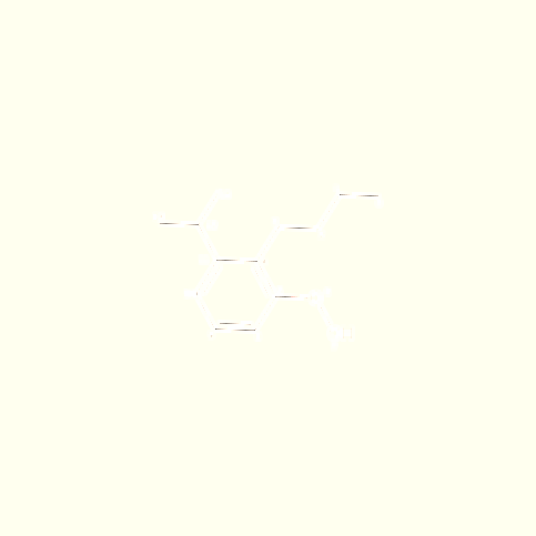 CCCCc1c(OO)cccc1C(C)C